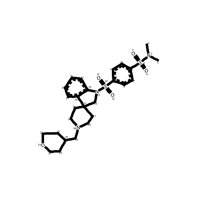 CN(C)S(=O)(=O)c1ccc(S(=O)(=O)N2CC3(CCN(CC4CCOCC4)CC3)c3ccccc32)cc1